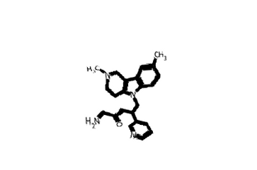 Cc1ccc2c(c1)c1c(n2CC(CC(=O)CN)c2cccnc2)CCN(C)C1